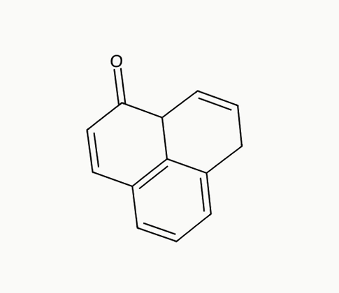 O=C1C=Cc2cccc3c2C1C=CC3